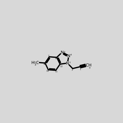 C#CCn1nnc2cc(C)ccc21